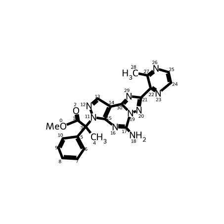 COC(=O)C(C)(c1ccccc1)n1ncc2c1nc(N)n1nc(-c3nccnc3C)nc21